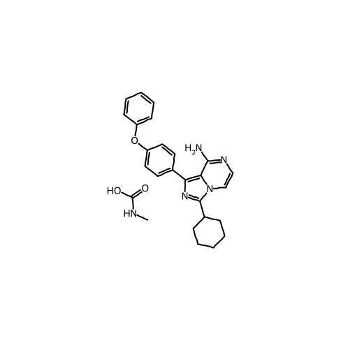 CNC(=O)O.Nc1nccn2c(C3CCCCC3)nc(-c3ccc(Oc4ccccc4)cc3)c12